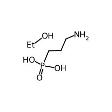 CCO.NCCCP(=O)(O)O